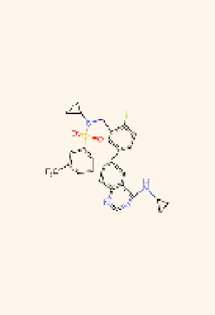 O=S(=O)(c1cccc(C(F)(F)F)c1)N(Cc1cc(-c2ccc3ncnc(NC4CC4)c3c2)ccc1F)C1CC1